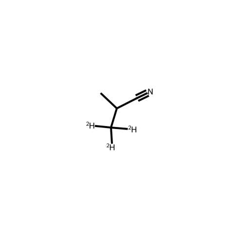 [2H]C([2H])([2H])C(C)C#N